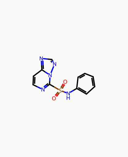 O=S(=O)(Nc1ccccc1)c1nccc2ncnn12